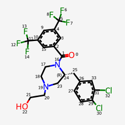 O=C(c1cc(C(F)(F)F)cc(C(F)(F)F)c1)N1CCN(CCO)C[C@H]1Cc1ccc(Cl)c(Cl)c1